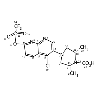 C[C@@H]1CN(c2cnc3nc(OS(=O)(=O)C(F)(F)F)ccc3c2Cl)C[C@H](C)N1C(=O)O